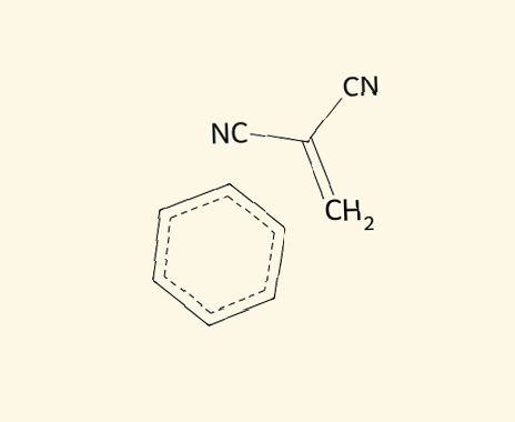 C=C(C#N)C#N.c1ccccc1